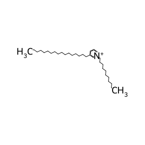 CCCCCCCCCCCCCCCCCc1ccc[n+](CCCCCCCCCCC)c1